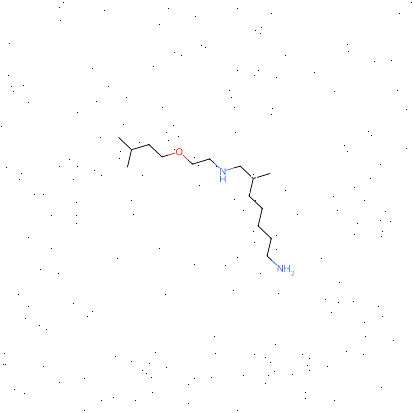 CC(C)CCOCCNCC(C)CCCCCN